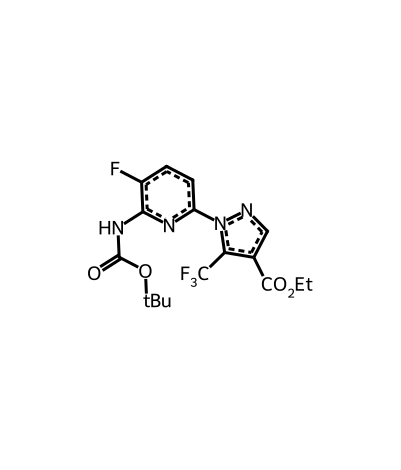 CCOC(=O)c1cnn(-c2ccc(F)c(NC(=O)OC(C)(C)C)n2)c1C(F)(F)F